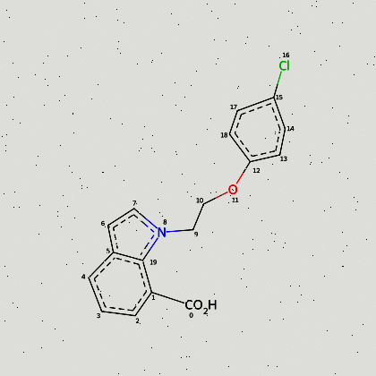 O=C(O)c1cccc2ccn(CCOc3ccc(Cl)cc3)c12